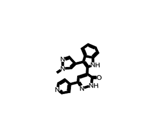 Cn1cc(-c2c(-c3cc(-c4ccncc4)n[nH]c3=O)[nH]c3ccccc23)cn1